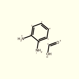 Nc1ccccc1N.O=CO